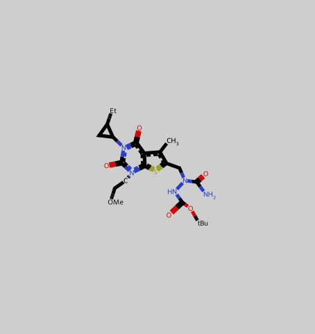 CCC1CC1n1c(=O)c2c(C)c(CN(NC(=O)OC(C)(C)C)C(N)=O)sc2n(CCOC)c1=O